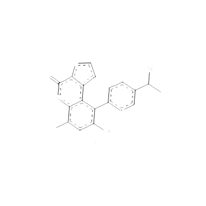 Cc1cc(O)c(-c2ccc(C(C)N)cc2)c2c1[nH]c(=O)c1sccc12.Cl